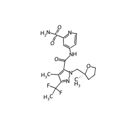 Cc1c(C(C)(F)F)nn(C[C@]2(C)CCCO2)c1C(=O)Nc1ccnc(S(N)(=O)=O)c1